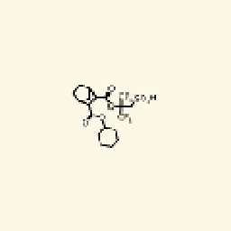 O=C(OC1CCCCC1)C1C2CCC(C2)C1C(=O)OC(CS(=O)(=O)O)(C(F)(F)F)C(F)(F)F